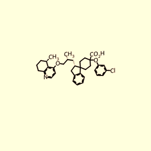 C[C@@H](COc1ccnc2c1[C@H](C)CCC2)C[C@H]1Cc2ccccc2C12CCC(Oc1cccc(Cl)c1)(C(=O)O)CC2